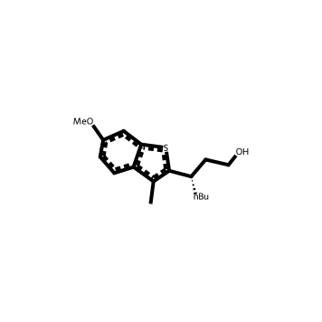 CCCC[C@@H](CCO)c1sc2cc(OC)ccc2c1C